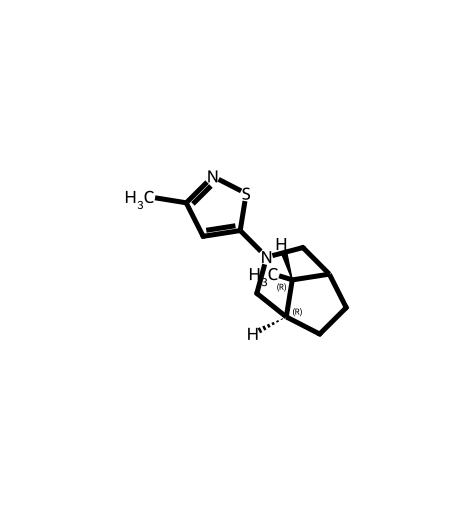 Cc1cc(N2CC3CC[C@@H](C2)[C@@H]3C)sn1